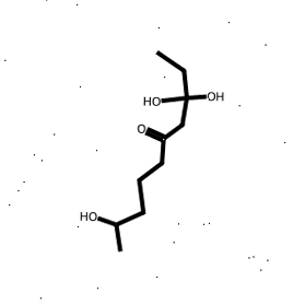 CCC(O)(O)CC(=O)CCCC(C)O